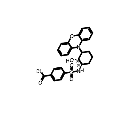 CCC(=O)c1ccc(S(=O)(=O)N[C@@H]2CCCC(N3c4ccccc4Oc4ccccc43)[C@H]2O)cc1